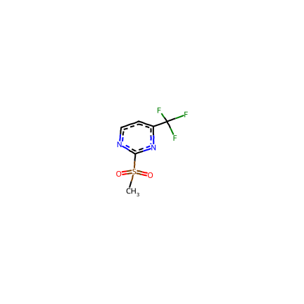 CS(=O)(=O)c1nccc(C(F)(F)F)n1